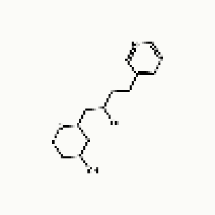 OC1CCOC(CC(O)CCc2cccnc2)C1